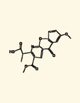 COC(=O)c1cc2c(=O)c3cc(OC)ccc3oc2nc1C(C)C(=O)O